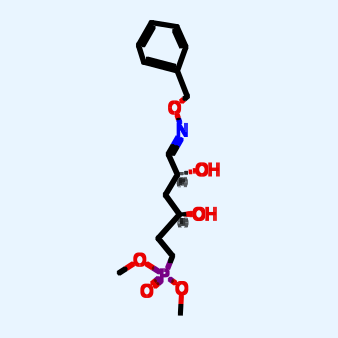 COP(=O)(CC[C@H](O)C[C@@H](O)C=NOCc1ccccc1)OC